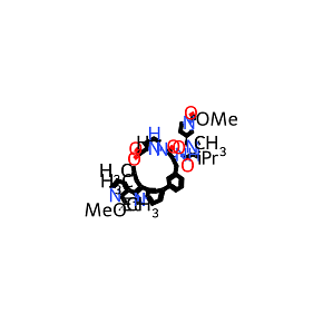 CCn1c(-c2cccnc2[C@H](C)OC)c2c3cc(ccc31)-c1cccc(c1)C[C@H](NC(=O)C(C(C)C)N(C)C(=O)[C@H]1CCN(C(=O)OC)C1)C(=O)N1CCC[C@H](N1)C(=O)OCC(C)(C)C2